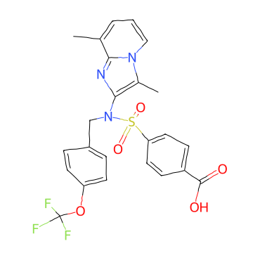 Cc1cccn2c(C)c(N(Cc3ccc(OC(F)(F)F)cc3)S(=O)(=O)c3ccc(C(=O)O)cc3)nc12